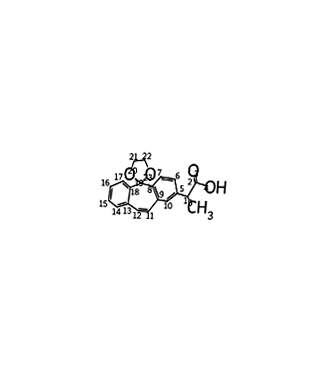 CC(C(=O)O)c1ccc2c(c1)C=Cc1ccccc1C21OCCO1